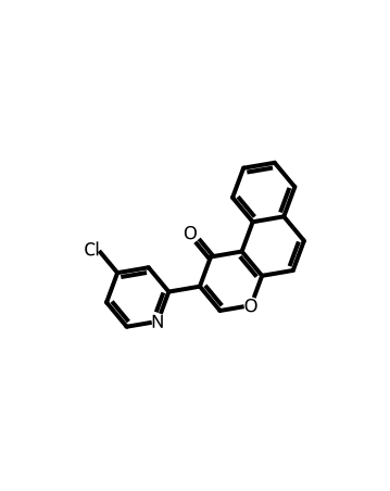 O=c1c(-c2cc(Cl)ccn2)coc2ccc3ccccc3c12